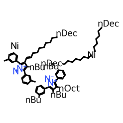 CCCCCCCCC1=C(c2cccc(CCCC)c2)[N+](=[N-])C(c2cccc(CCCC)c2)=C1CCCC.CCCCCCCCCCCCCCCCCCC=CC1=C(c2cccc(C)c2)[N+](=[N-])C(c2cccc(C)c2)=C1CCCC.CCCCCCCCCCCCCCCC[CH2][Ni][CH2]CCCCCCCCCCCCCCCC.[Ni]